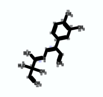 C=C/C(=C\N=C(/C)C(C)(C)C=C)c1ccc(C)c(C)c1